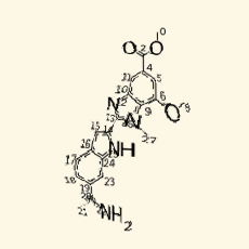 COC(=O)c1cc(OC)c2c(c1)nc(-c1cc3ccc([C@@H](C)N)cc3[nH]1)n2C